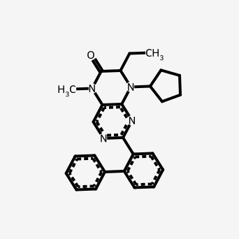 CCC1C(=O)N(C)c2cnc(-c3ccccc3-c3ccccc3)nc2N1C1CCCC1